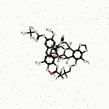 COc1cc2c(cc1OC(=O)OC(C)(C)C)CCN[C@]21CS[C@@H]2c3c(OOCC(F)(F)F)c(C)c4c(c3[C@H](COC1=O)N1C2[C@@H]2c3c(cc(C)c(OC)c3OC(=O)C(F)(F)F)C[C@@H]([C@@H]1C#N)N2C)OCO4